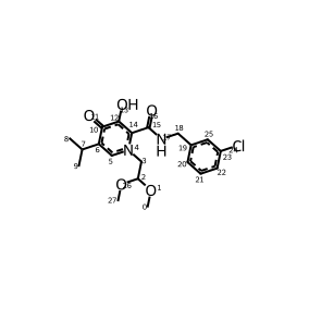 COC(Cn1cc(C(C)C)c(=O)c(O)c1C(=O)NCc1cccc(Cl)c1)OC